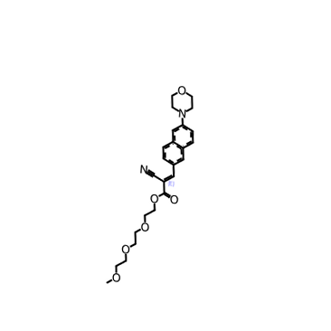 COCCOCCOCCOC(=O)/C(C#N)=C/c1ccc2cc(N3CCOCC3)ccc2c1